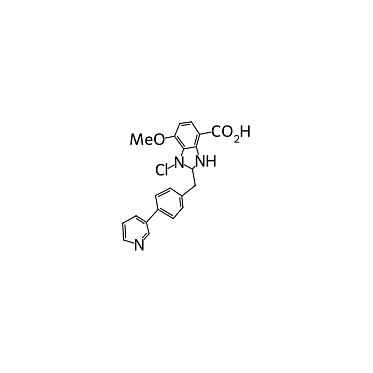 COc1ccc(C(=O)O)c2c1N(Cl)C(Cc1ccc(-c3cccnc3)cc1)N2